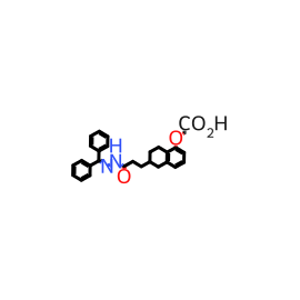 O=C(O)COc1cccc2c1CCC(CCC(=O)NN=C(c1ccccc1)c1ccccc1)C2